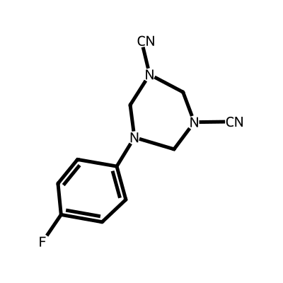 N#CN1CN(C#N)CN(c2ccc(F)cc2)C1